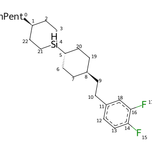 CCCCC[C@H]1CC[Si@H]([C@H]2CC[C@H](CCc3ccc(F)c(F)c3)CC2)CC1